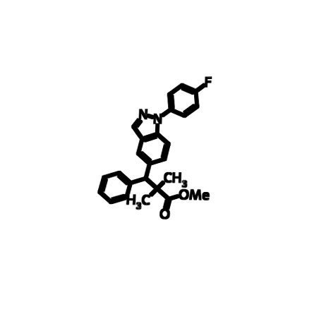 COC(=O)C(C)(C)C(c1ccccc1)c1ccc2c(cnn2-c2ccc(F)cc2)c1